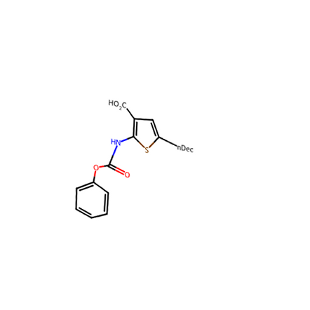 CCCCCCCCCCc1cc(C(=O)O)c(NC(=O)Oc2ccccc2)s1